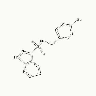 CC(C)(C)c1ccc(CNS(=O)(=O)c2n[nH]c3ncccc23)cc1